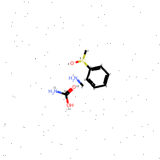 CN.C[S+]([O-])c1ccccc1.NC(=O)O